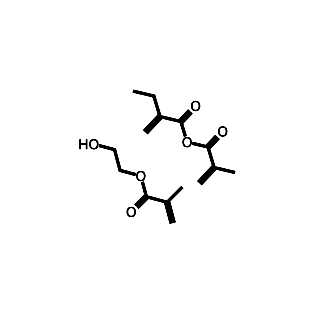 C=C(C)C(=O)OC(=O)C(=C)CC.C=C(C)C(=O)OCCO